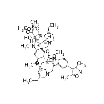 CCC1=C[C@H]2CN(C1)Cc1c([nH]c3ccc(-c4c(C)noc4C)cc13)[C@@](C(=O)OC)(C1C=C3C(=CC1OC)N(C)[C@H]1[C@@](O)(C(=O)OC)[C@H](OC(C)=O)C4[C@@H](CC)CCN5CC[C@]31[C@H]45)C2